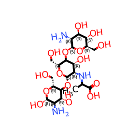 CC(N[C@H]1[C@H](OC2[C@@H](CO)O[C@@H](O)[C@H](N)[C@H]2O)O[C@H](CO)C(O[C@@H]2O[C@H](CO)[C@@H](O)[C@H](O)[C@H]2N)[C@@H]1O)C(=O)O